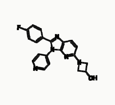 OC1CN(c2ccc3nc(-c4ccc(F)cc4)n(-c4ccncc4)c3n2)C1